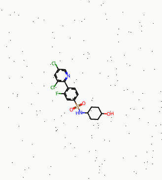 O=S(=O)(NC1CCC(O)CC1)c1ccc(-c2ncc(Cl)cc2Cl)c(F)c1